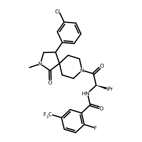 CC(C)[C@@H](NC(=O)c1cc(C(F)(F)F)ccc1F)C(=O)N1CCC2(CC1)C(=O)N(C)CC2c1cccc(Cl)c1